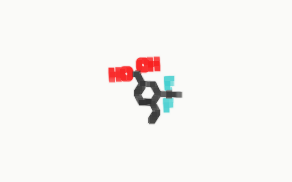 C=CC1=CC=C(C(O)O)CC1C(C)(F)F